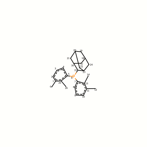 Cc1cccc(P(c2cccc(C)c2C)C2C3CC4CC(C3)CC2C4)c1C